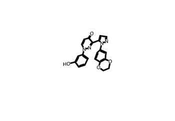 O=c1ccn(-c2cccc(O)c2)nc1-c1ccnn1-c1ccc2c(c1)OCCO2